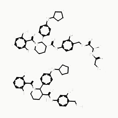 Cc1cccc(F)c1C(=O)N1CCCC(C(=O)Nc2ccc(CO)c(C(F)(F)F)c2)C1c1ccc(NC2CCCC2)cc1.Cc1cccc(F)c1C(=O)N1CCC[C@H](C(=O)Nc2ccc(COC(=O)[C@H](NC(=O)CN)C(C)C)c(C(F)(F)F)c2)[C@@H]1c1ccc(NC2CCCC2)cc1